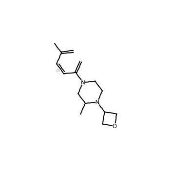 C=C(C)/C=C\C(=C)N1CCN(C2COC2)C(C)C1